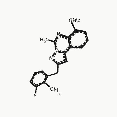 COc1cccc2c1nc(N)n1nc(Cc3cccc(F)c3C)cc21